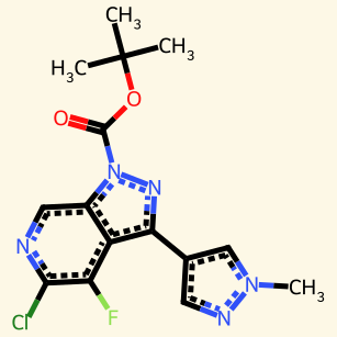 Cn1cc(-c2nn(C(=O)OC(C)(C)C)c3cnc(Cl)c(F)c23)cn1